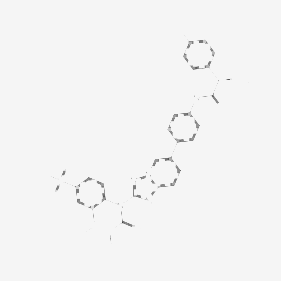 [CH2]OC(=O)N(c1nc2ccc(-c3ccc(NC(=O)[C@H](C)c4ccc(F)cc4)cc3)cn2n1)c1ccc(S(C)(=O)=O)cc1OC